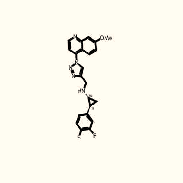 COc1ccc2c(-n3cc(CN[C@@H]4C[C@H]4c4ccc(F)c(F)c4)nn3)ccnc2c1